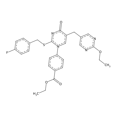 CCOC(=O)c1ccc(-n2cc(Cc3cnc(OCC)nc3)c(=O)nc2SCc2ccc(F)cc2)cc1